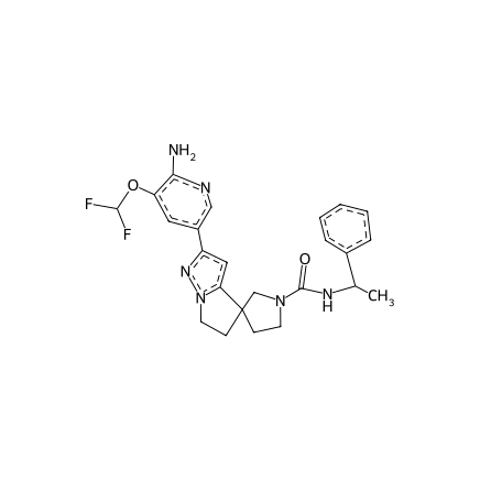 CC(NC(=O)N1CCC2(CCn3nc(-c4cnc(N)c(OC(F)F)c4)cc32)C1)c1ccccc1